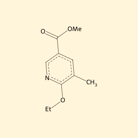 CCOc1ncc(C(=O)OC)cc1C